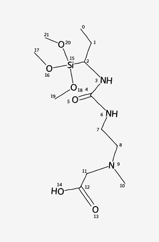 CCC(NC(=O)NCCN(C)CC(=O)O)[Si](OC)(OC)OC